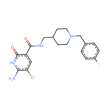 Nc1[nH]c(=O)c(C(=O)NCC2CCN(Cc3ccc(F)cc3)CC2)cc1Cl